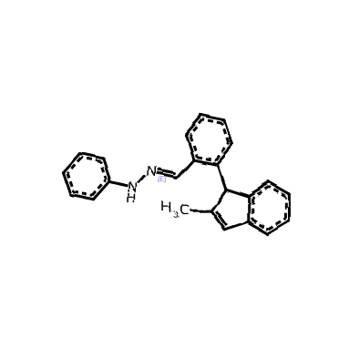 CC1=Cc2ccccc2C1c1ccccc1/C=N/Nc1ccccc1